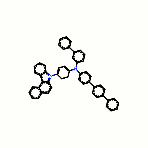 C1=C(N(c2ccc(-c3ccc(-c4ccccc4)cc3)cc2)c2cccc(-c3ccccc3)c2)CCC(n2c3ccccc3c3c4ccccc4ccc32)=C1